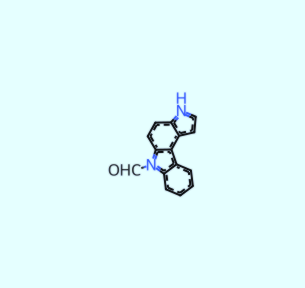 O=Cn1c2ccccc2c2c3cc[nH]c3ccc21